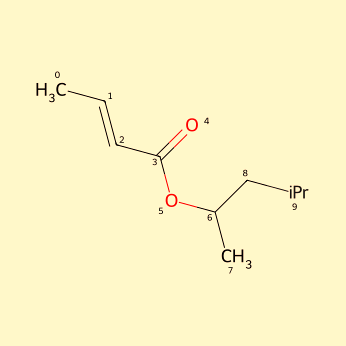 C/C=C/C(=O)OC(C)CC(C)C